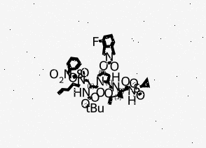 C=CCCCN(C[C@H](NC(=O)OC(C)(C)C)C(=O)N1C[C@H](OC(=O)N2Cc3cccc(F)c3C2)C[C@H]1C(=O)N[C@]1(C(=O)NS(=O)(=O)C2CC2)C[C@H]1C=C)S(=O)(=O)c1ccccc1[N+](=O)[O-]